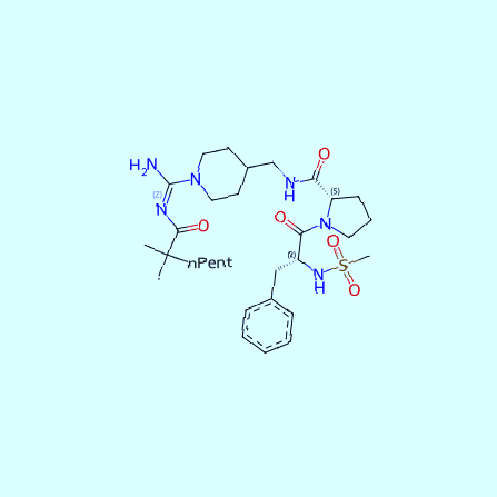 CCCCCC(C)(C)C(=O)/N=C(/N)N1CCC(CNC(=O)[C@@H]2CCCN2C(=O)[C@@H](Cc2ccccc2)NS(C)(=O)=O)CC1